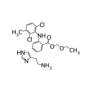 CCOCOC(=O)c1ccccc1Nc1c(Cl)ccc(C)c1Cl.NCCc1c[nH]cn1